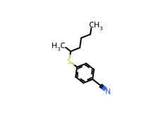 CCCCC(C)Sc1ccc(C#N)cc1